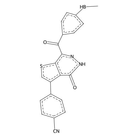 CBc1ccc(C(=O)c2n[nH]c(=O)c3c(-c4ccc(C#N)cc4)csc23)cc1